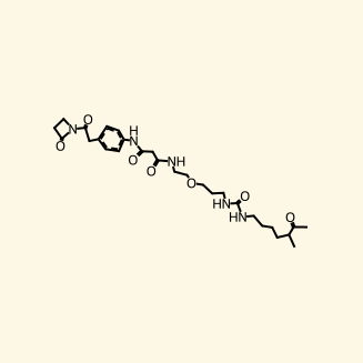 CC(=O)C(C)CCCCNC(=O)NCCCOCCNC(=O)CC(=O)Nc1ccc(CC(=O)N2CCC2=O)cc1